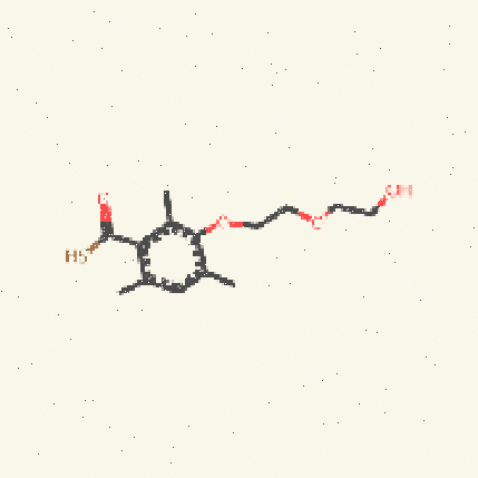 Cc1cc(C)c(C(=O)S)c(C)c1OCCOCCO